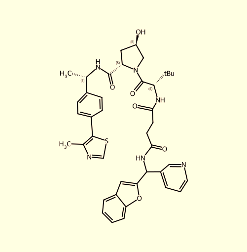 Cc1ncsc1-c1ccc([C@H](C)NC(=O)[C@@H]2C[C@@H](O)CN2C(=O)[C@@H](NC(=O)CCC(=O)NC(c2cccnc2)c2cc3ccccc3o2)C(C)(C)C)cc1